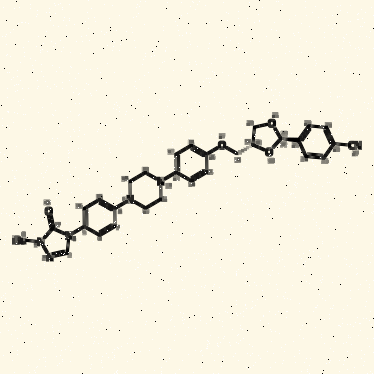 CCC(C)n1ncn(-c2ccc(N3CCN(c4ccc(OC[C@@H]5CO[C@@H](c6ccc(C#N)cc6)O5)cc4)CC3)cc2)c1=O